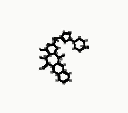 Cc1nc(Nc2cnn(C3CCNCC3)c2)nc2c1N(C)C(=O)c1cc3ccccc3cc1N2C